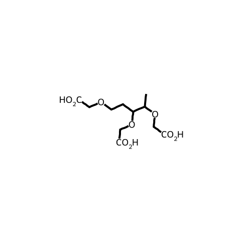 CC(OCC(=O)O)C(CCOCC(=O)O)OCC(=O)O